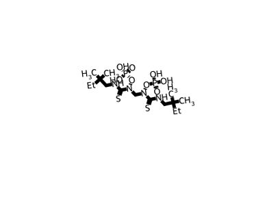 CCC(C)(C)CNC(=S)N(CN(OP(=O)(O)O)C(=S)NCC(C)(C)CC)OP(=O)(O)O